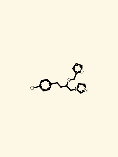 Clc1ccc(CCC(Cn2ccnc2)SCc2ccco2)cc1